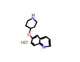 Cl.c1cnc2ccc(OC3CCNCC3)cc2c1